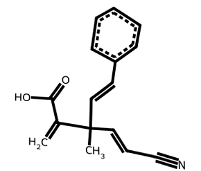 C=C(C(=O)O)C(C)(C=CC#N)C=Cc1ccccc1